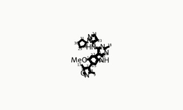 COc1cc2c(cc1-c1c(C)noc1C)[nH]c1nc(C)nc(Nc3ccnn3C3CCCC3)c12